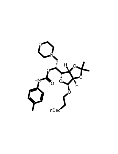 CCCCCCCCCCCCO[C@H]1O[C@H]([C@@H](CN2CCOCC2)OC(=O)Nc2ccc(C)cc2)[C@@H]2OC(C)(C)O[C@H]12